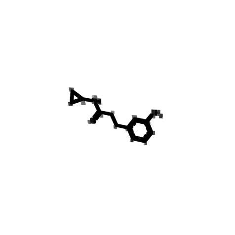 Bc1cccc(CCC(=O)NC2CC2)c1